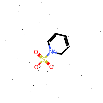 O=S(=O)([O-])[N+]1C=CC=CC1